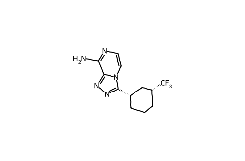 Nc1nccn2c([C@H]3CCC[C@@H](C(F)(F)F)C3)nnc12